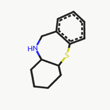 c1ccc2c(c1)CNC1CCCCC1S2